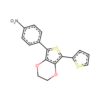 O=[N+]([O-])c1ccc(-c2sc(-c3cccs3)c3c2OCCO3)cc1